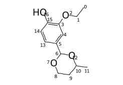 CCOc1cc(C2OCCC(C)O2)ccc1O